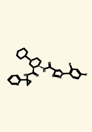 O=C(N[C@H]1CCN(C2CCCCC2)C[C@@H]1C(=O)NC1(c2ccccn2)CC1)c1cn(-c2ccc(F)cc2F)nn1